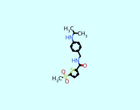 CC(C)Nc1ccc(CNC(=O)c2ccc(S(C)(=O)=O)s2)cc1